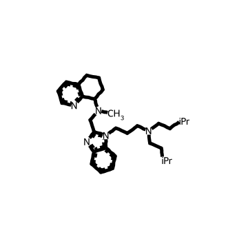 CC(C)CCN(CCCn1c(CN(C)C2CCCc3cccnc32)nc2ccccc21)CCC(C)C